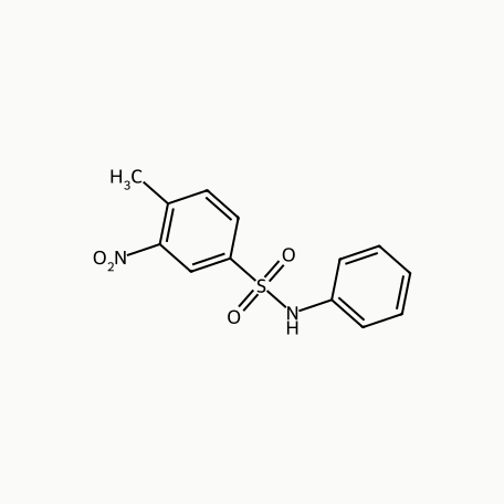 Cc1ccc(S(=O)(=O)Nc2ccccc2)cc1[N+](=O)[O-]